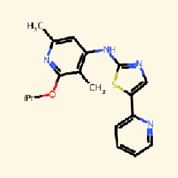 Cc1cc(Nc2ncc(-c3ccccn3)s2)c(C)c(OC(C)C)n1